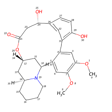 COc1cc2c(cc1OC)[C@@H]1C[C@H](C[C@@H]3CCCCN31)OC(=O)C[C@H](O)c1ccc(O)c-2c1